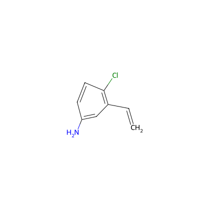 C=Cc1cc(N)ccc1Cl